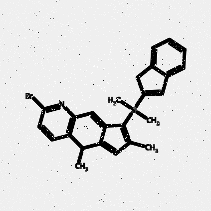 CC1=C([Si](C)(C)C2=Cc3ccccc3C2)C2=Cc3nc(Br)ccc3C(C)C2=C1